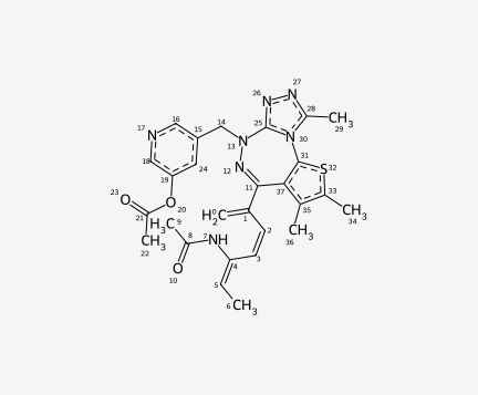 C=C(/C=C\C(=C/C)NC(C)=O)C1=NN(Cc2cncc(OC(C)=O)c2)c2nnc(C)n2-c2sc(C)c(C)c21